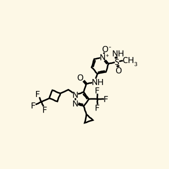 CS(=N)(=O)c1cc(NC(=O)c2c(C(F)(F)F)c(C3CC3)nn2CC2CC(C(F)(F)F)C2)cc[n+]1[O-]